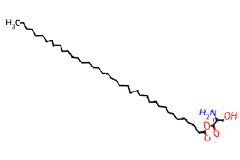 CCCCCCCCCCCCCCCCCCCCCCCCCCCCCCCCCCCCCCCC(=O)OC(=O)[C@@H](N)CO